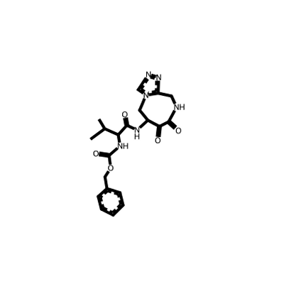 CC(C)C(NC(=O)OCc1ccccc1)C(=O)NC1Cn2cnnc2CNC(=O)C1=O